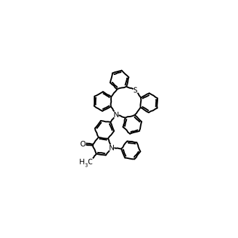 Cc1cn(-c2ccccc2)c2cc(N3c4ccccc4-c4ccccc4Sc4ccccc4-c4ccccc43)ccc2c1=O